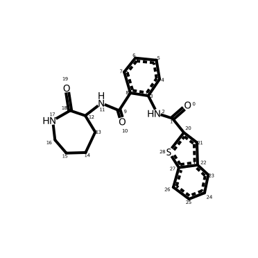 O=C(Nc1ccccc1C(=O)NC1CCCCNC1=O)c1cc2ccccc2s1